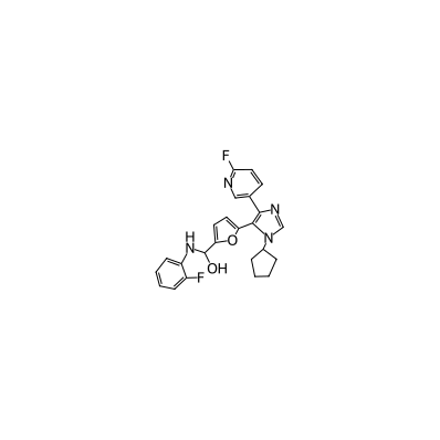 OC(Nc1ccccc1F)c1ccc(-c2c(-c3ccc(F)nc3)ncn2C2CCCC2)o1